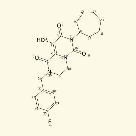 O=C1c2c(O)c(=O)n(C3CCCCCC3)c(=O)n2CCN1Cc1ccc(F)cc1